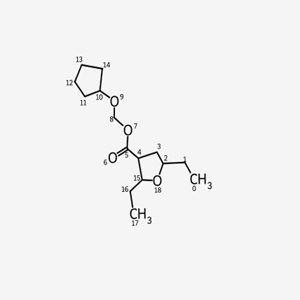 CCC1CC(C(=O)OCOC2CCCC2)C(CC)O1